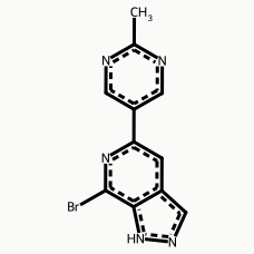 Cc1ncc(-c2cc3cn[nH]c3c(Br)n2)cn1